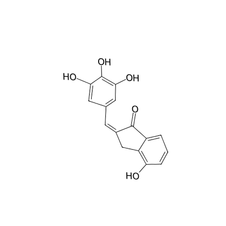 O=C1C(=Cc2cc(O)c(O)c(O)c2)Cc2c(O)cccc21